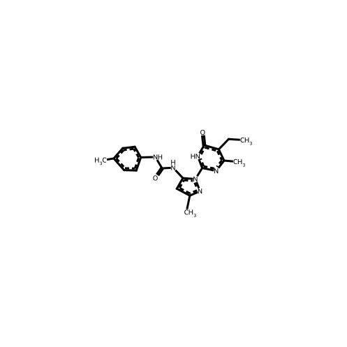 CCc1c(C)nc(-n2nc(C)cc2NC(=O)Nc2ccc(C)cc2)[nH]c1=O